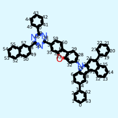 c1ccc(-c2ccc3c(c2)c2c4ccccc4c(-c4ccccc4)cc2n3-c2ccc3c(c2)oc2cc(-c4nc(-c5ccccc5)nc(-c5ccc6ccccc6c5)n4)ccc23)cc1